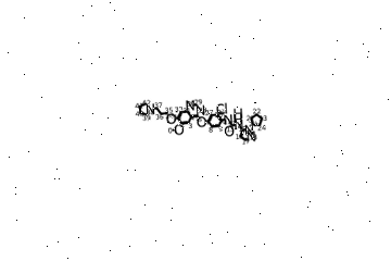 COc1cc2c(Oc3ccc(NC(=O)Nc4ccnn4C4CCCC4)c(Cl)c3)ncnc2cc1OCCCN1CCCC1